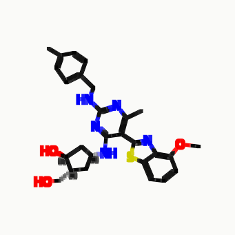 COc1cccc2sc(-c3c(C)nc(NCc4ccc(C)cc4)nc3N[C@@H]3C[C@H](CO)[C@@H](O)C3)nc12